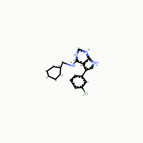 Clc1cccc(-c2c[nH]c3ncnc(NCC4CCCCC4)c23)c1